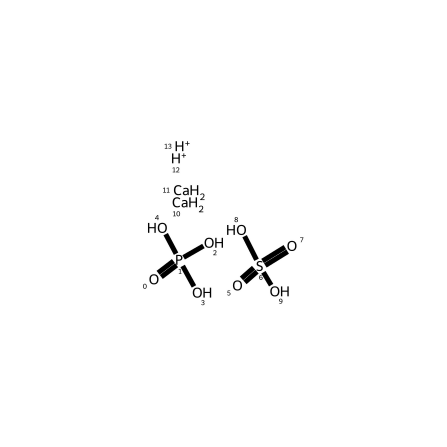 O=P(O)(O)O.O=S(=O)(O)O.[CaH2].[CaH2].[H+].[H+]